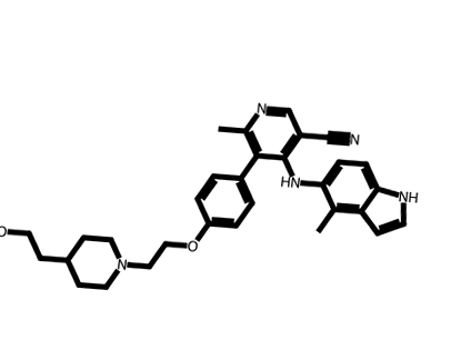 Cc1ncc(C#N)c(Nc2ccc3[nH]ccc3c2C)c1-c1ccc(OCCN2CCC(CCO)CC2)cc1